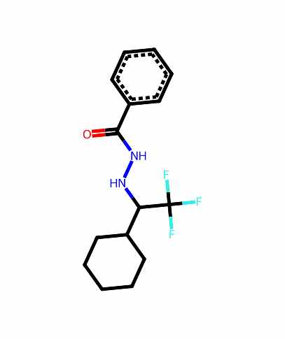 O=C(NNC(C1CCCCC1)C(F)(F)F)c1ccccc1